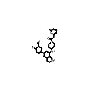 N#CC1CC(c2cc(NC3CCN(C(=O)Cc4cccc(F)n4)CC3)c3c(c2)=CCNC=3)=CC=C1F